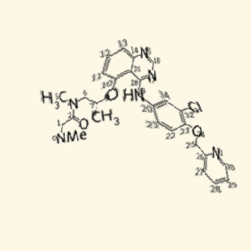 CNCC(=O)N(C)C[C@@H](C)Oc1cccc2ncnc(Nc3ccc(OCc4ccccn4)c(Cl)c3)c12